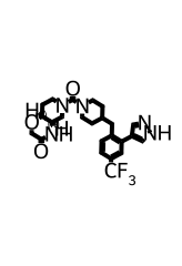 O=C1CO[C@H]2CCN(C(=O)N3CCC(Cc4ccc(C(F)(F)F)cc4-c4cn[nH]c4)CC3)C[C@H]2N1